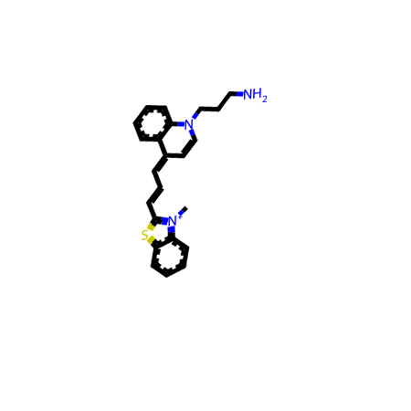 C[n+]1c(C=CC=C2C=CN(CCCN)c3ccccc32)sc2ccccc21